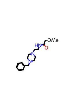 COCC(=O)NCCN1CCN(Cc2ccccc2)CC1